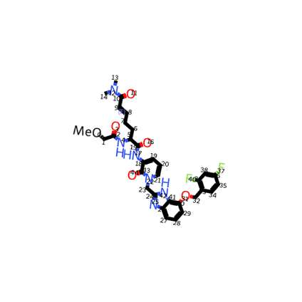 COCC(=O)NC(CC/C=C/C(=O)N(C)C)C(=O)Nc1cccn(Cc2nc3cccc(OCc4ccc(F)cc4F)c3[nH]2)c1=O